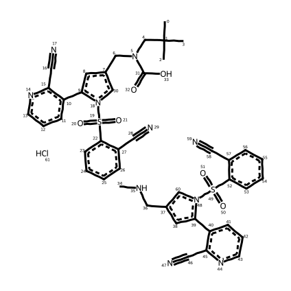 CC(C)(C)CN(Cc1cc(-c2cccnc2C#N)n(S(=O)(=O)c2ccccc2C#N)c1)C(=O)O.CNCc1cc(-c2cccnc2C#N)n(S(=O)(=O)c2ccccc2C#N)c1.Cl